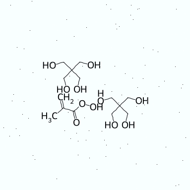 C=C(C)C(=O)OO.OCC(CO)(CO)CO.OCC(CO)(CO)CO